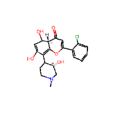 CN1CCC(C2=C3OC(c4ccccc4Cl)=CC(=O)[C@H]3C(O)C=C2O)[C@H](O)C1